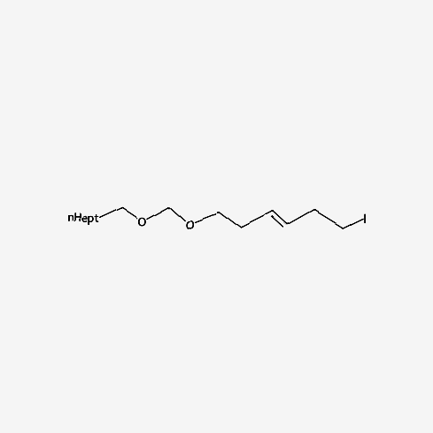 CCCCCCCCOCOCC/C=C/CCI